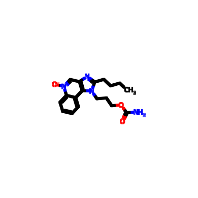 CCCCc1nc2c[n+]([O-])c3ccccc3c2n1CCCOC(N)=O